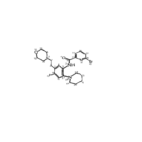 O=C(Nc1cc(CCN2CCOCC2)c(F)cc1N1CCCCC1)c1cccc(Br)n1